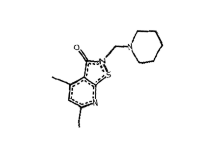 Cc1cc(C)c2c(=O)n(CN3CCCCC3)sc2n1